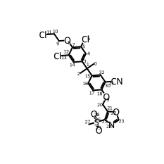 CC(C)(c1cc(Cl)c(OCCCl)c(Cl)c1)c1ccc(OCc2ocnc2S(C)(=O)=O)c(C#N)c1